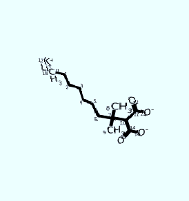 CCCCCCCC(C)(C)C(C(=O)[O-])C(=O)[O-].[K+].[Li+]